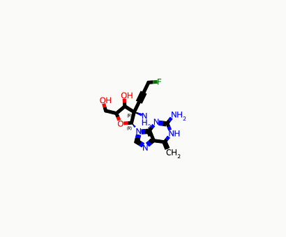 C=C1NC(N)=Nc2c1ncn2[C@@H]1OC(CO)C(O)[C@]1(N)C#CCF